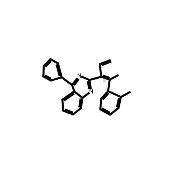 C=C/C(=C(\C)c1ccccc1C)c1nc(-c2ccccc2)c2ccccc2n1